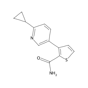 NC(=O)c1sccc1-c1ccc(C2CC2)nc1